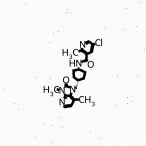 Cc1ncc(Cl)cc1C(=O)N[C@H]1CC[C@@H](Cn2c(=O)n(C)c3nccc(C)c32)CC1